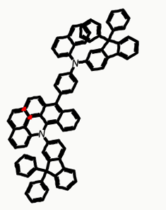 c1ccc(C2(c3ccccc3)c3ccccc3-c3ccc(N(c4ccc(-c5c6ccccc6c(N(c6ccc7c(c6)C(c6ccccc6)(c6ccccc6)c6ccccc6-7)c6cccc7ccccc67)c6ccccc56)cc4)c4cccc5ccccc45)cc32)cc1